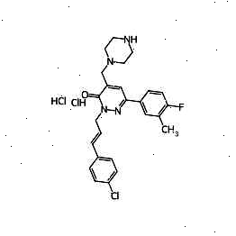 Cc1cc(-c2cc(CN3CCNCC3)c(=O)n(CC=Cc3ccc(Cl)cc3)n2)ccc1F.Cl.Cl